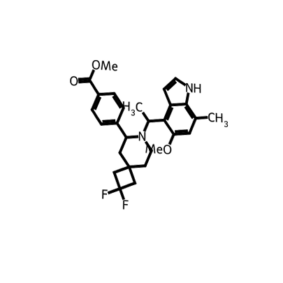 COC(=O)c1ccc(C2CC3(CCN2C(C)c2c(OC)cc(C)c4[nH]ccc24)CC(F)(F)C3)cc1